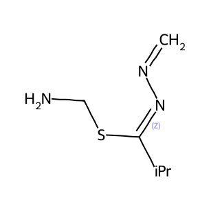 C=N/N=C(\SCN)C(C)C